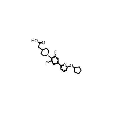 O=C(O)CC1CCN(c2c(F)cc(-c3cccc(OC4CCCC4)n3)cc2F)CC1